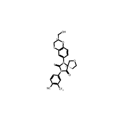 N#Cc1ccc(N2C(=O)[C@@]3(CCOC3)N(c3ccc4c(c3)SC[C@@H](CO)O4)C2=S)cc1C(F)(F)F